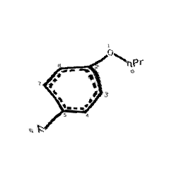 CCCOc1[c]cc(F)cc1